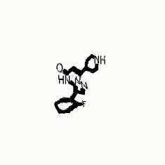 O=c1cc(C2CCNCC2)n2ncc(-c3ccccc3F)c2[nH]1